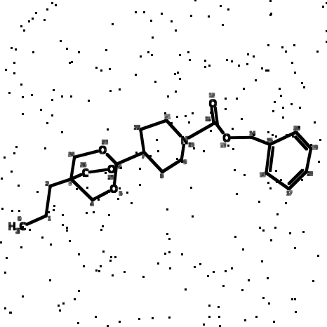 CCCC12COC(C3CCN(C(=O)OCc4ccccc4)CC3)(OC1)OC2